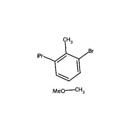 COC.Cc1c(Br)cccc1C(C)C